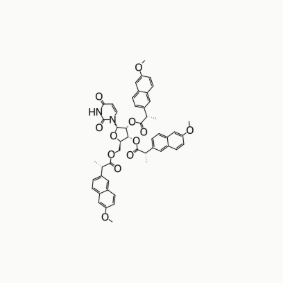 COc1ccc2cc([C@H](C)C(=O)OC[C@H]3O[C@@H](n4ccc(=O)[nH]c4=O)[C@H](OC(=O)[C@@H](C)c4ccc5cc(OC)ccc5c4)[C@@H]3OC(=O)[C@@H](C)c3ccc4cc(OC)ccc4c3)ccc2c1